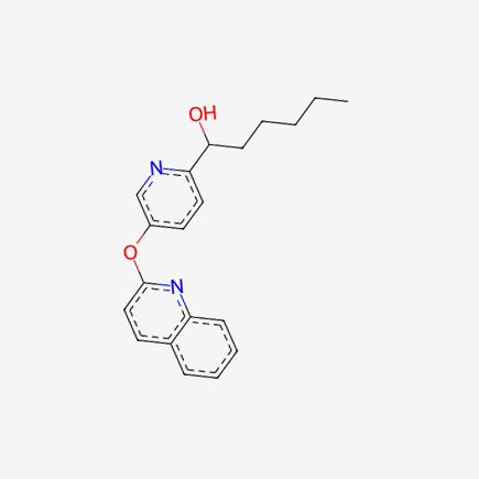 CCCCCC(O)c1ccc(Oc2ccc3ccccc3n2)cn1